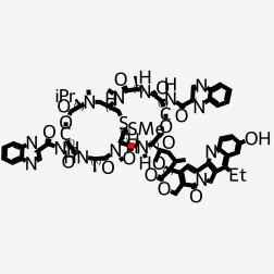 CCc1c2c(nc3ccc(O)cc13)-c1cc3c(c(=O)n1C2)COC(=O)[C@]3(O)C(C)CC(C)[C@@H]1C(=O)OC[C@H](NC(=O)c2cnc3ccccc3n2)C(=O)N[C@H](C)C(=O)N(C)[C@@H]2CS[C@H](SC)[C@H](C(=O)N1C)N(C)C(=O)[C@@H](C)NC(=O)[C@@H](NC(=O)c1cnc3ccccc3n1)COC(=O)[C@@H](C(C)C)N(C)C2